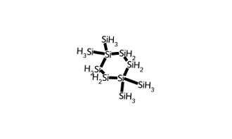 [SiH3][Si]1([SiH3])[SiH2][SiH2][Si]([SiH3])([SiH3])[SiH2][SiH2]1